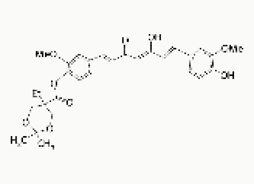 CCC1(C(=O)Oc2ccc(/C=C/C(=O)/C=C(O)/C=C/c3ccc(O)c(OC)c3)cc2OC)COC(C)(C)OC1